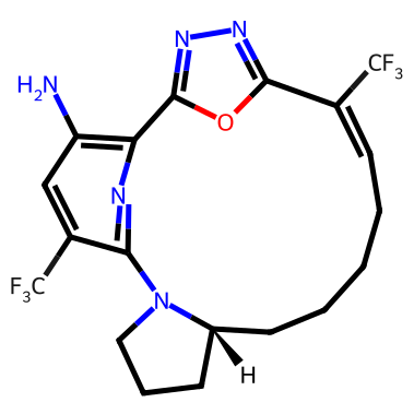 Nc1cc(C(F)(F)F)c2nc1-c1nnc(o1)/C(C(F)(F)F)=C\CCCC[C@@H]1CCCN21